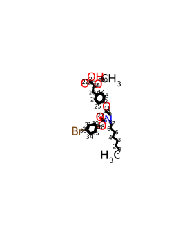 CCCCCCCCN(CCOc1ccc(CC(OCC)C(=O)O)cc1)C(=O)Oc1ccc(Br)cc1